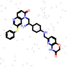 NC(Cn1c(=O)ccc2ncc(Sc3ccccc3)cc21)C1CCC(NCc2ccc3c(n2)NC(=O)CO3)CC1